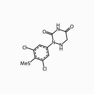 CSc1c(Cl)cc(N2NCC(=O)NC2=O)cc1Cl